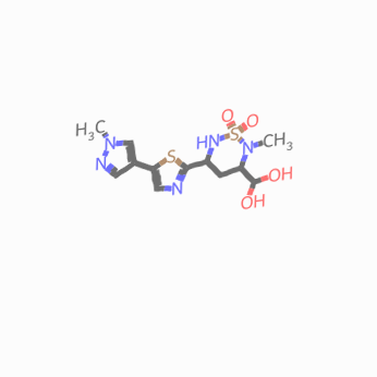 CN1C(C(O)O)CC(c2ncc(-c3cnn(C)c3)s2)NS1(=O)=O